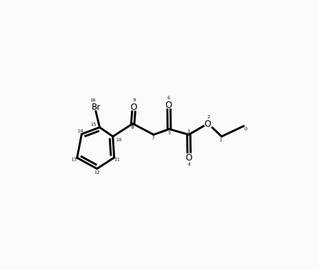 CCOC(=O)C(=O)CC(=O)c1ccccc1Br